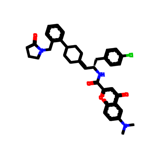 CN(C)c1ccc2oc(C(=O)N[C@H](C=C3CCC(c4ccccc4CN4CCCC4=O)CC3)Cc3ccc(Cl)cc3)cc(=O)c2c1